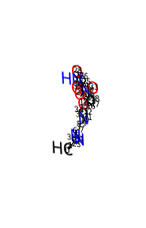 C#Cc1cnn(CCCCN2CCC(Oc3cccc4c3C(=O)N(C3CCC(=O)NC3=O)C4=O)CC2)c1